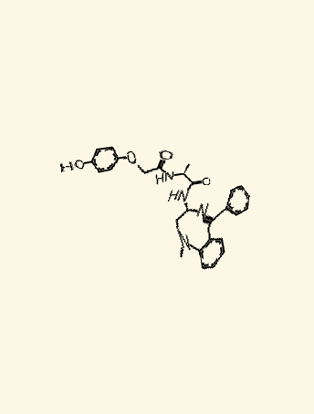 C[C@H](NC(=O)COc1ccc(O)cc1)C(=O)N[C@@H]1CN(C)c2ccccc2C(c2ccccc2)=N1